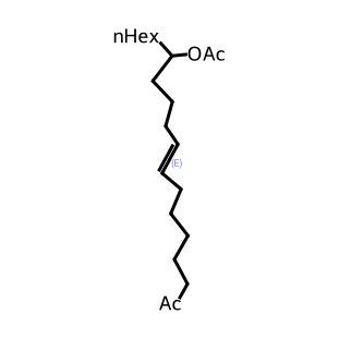 CCCCCCC(CCC/C=C/CCCCCC(C)=O)OC(C)=O